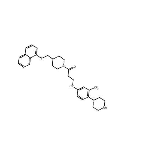 O=C(CCNc1ccc(N2CCNCC2)c(C(F)(F)F)c1)N1CCC(CSc2cccc3ccccc23)CC1